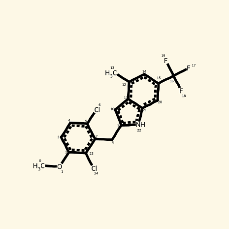 COc1ccc(Cl)c(Cc2cc3c(C)cc(C(F)(F)F)cc3[nH]2)c1Cl